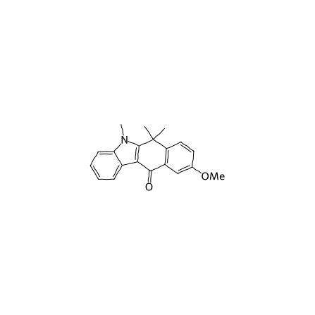 COc1ccc2c(c1)C(=O)c1c(n(C)c3ccccc13)C2(C)C